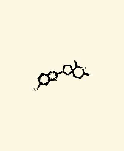 Nc1ccc2nc(N3CCC4(CCC(=O)NC4=O)C3)sc2c1